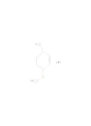 Cc1ccc(OS(=O)(=O)O)cc1.[LiH]